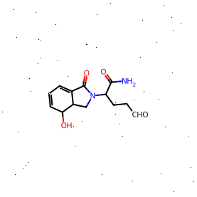 NC(=O)C(CCC=O)N1CC2C(=CC=CC2O)C1=O